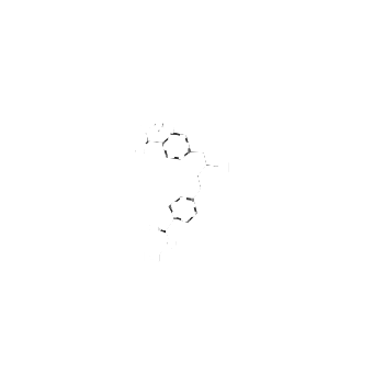 COC(=O)c1ccc(CC(C=O)CCc2ccc(C(=O)OC(C)(C)C)cc2)cc1